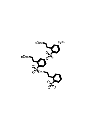 CCCCCCCCCCCCc1ccccc1S(=O)(=O)[O-].CCCCCCCCCCCCc1ccccc1S(=O)(=O)[O-].CCCCCCCCCCCCc1ccccc1S(=O)(=O)[O-].[Fe+3]